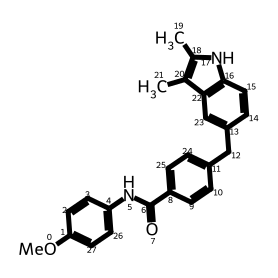 COc1ccc(NC(=O)c2ccc(Cc3ccc4[nH]c(C)c(C)c4c3)cc2)cc1